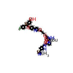 Cc1ncsc1-c1ccc(CNC(=O)[C@@H]2CCCN2C(=O)C(NC(=O)COCCCCOc2ccc(-c3ccc(Oc4c(-c5ccc(F)cc5)sc5cc(O)ccc45)cc3)nc2)C(C)(C)C)cc1